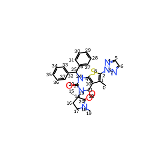 Cc1c(-n2nccn2)sc2c1c(=O)n([C@]1(C)CCN(C)C1=O)c(=O)n2C(c1ccccc1)c1ccccc1